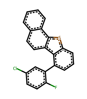 Fc1ccc(Cl)cc1-c1cccc2sc3c4ccccc4ccc3c12